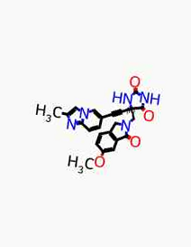 COc1ccc2c(c1)C(=O)N(C[C@@]1(C#Cc3ccc4nc(C)cn4c3)NC(=O)NC1=O)C2